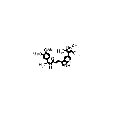 COc1ccc([C@@H](C)NC(=O)/C=C/c2c[nH]c3ncc(-c4c(C)nn(C)c4C)cc23)cc1OC